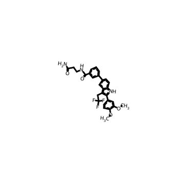 COc1ccc(-c2[nH]c3ccc(-c4cccc(C(=O)NCCC(N)=O)c4)cc3c2CC(F)(F)F)cc1OC